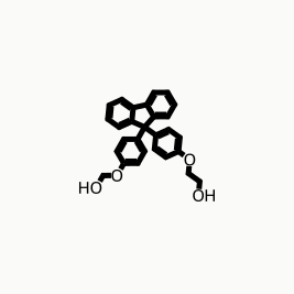 OCCOc1ccc(C2(c3ccc(OCO)cc3)c3ccccc3-c3ccccc32)cc1